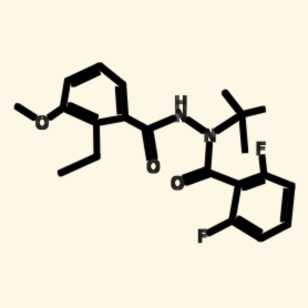 CCc1c(OC)cccc1C(=O)NN(C(=O)c1c(F)cccc1F)C(C)(C)C